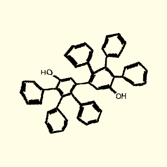 Oc1cc(-c2cc(O)c(-c3ccccc3)c(-c3ccccc3)c2-c2ccccc2)c(-c2ccccc2)c(-c2ccccc2)c1-c1ccccc1